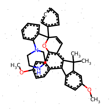 COc1ccc2c(c1)C(C)(C)c1c3c(c4cc(OC)ccc4c1-2)OC(c1ccccc1)(c1ccccc1N1CCNCC1)C=C3